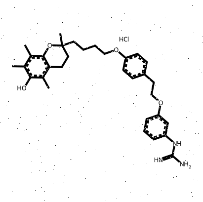 Cc1c(C)c2c(c(C)c1O)CCC(C)(CCCCOc1ccc(CCOc3cccc(NC(=N)N)c3)cc1)O2.Cl